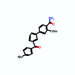 COc1cc(-c2cccc(C(=O)c3ccc(C(C)(C)C)cc3)c2)ccc1C(N)=O